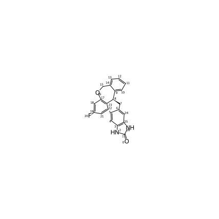 O=c1[nH]c2ccc(C[C@@H]3c4ccccc4COc4cc(F)ccc43)cc2[nH]1